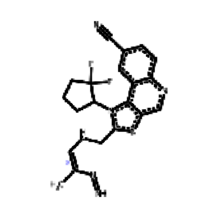 C/C(=C/NCc1nc2cnc3ccc(C#N)cc3c2n1C1CCCC1(F)F)N=N